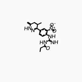 C=C1CC(C)C(c2ccc(NC(=N)NC(=O)CC)c([N+](=O)[O-])c2)=NN1